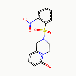 O=c1cccc2n1CCN(S(=O)(=O)c1ccccc1[N+](=O)[O-])C2